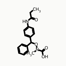 CCC(=O)Nc1ccc(C(ON(C)C(=O)O)c2ccccc2)cc1